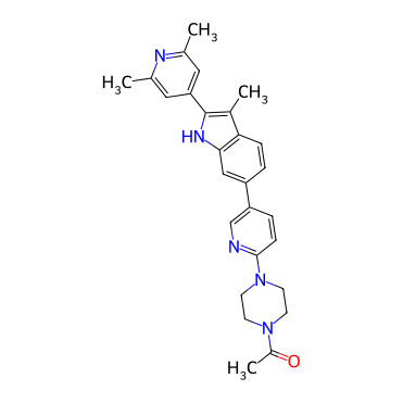 CC(=O)N1CCN(c2ccc(-c3ccc4c(C)c(-c5cc(C)nc(C)c5)[nH]c4c3)cn2)CC1